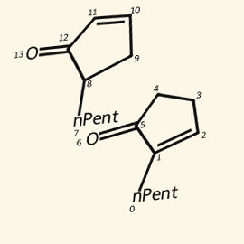 CCCCCC1=CCCC1=O.CCCCCC1CC=CC1=O